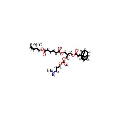 CCCCC/C=C\CCOC(=O)CCCCC(=O)OCC(COC(=O)CC12CC3CC(CC(C3)C1)C2)COC(=O)OCCCN(CC)CC